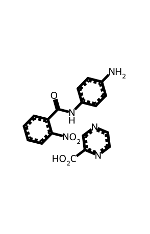 Nc1ccc(NC(=O)c2ccccc2[N+](=O)[O-])cc1.O=C(O)c1cnccn1